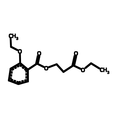 CCOC(=O)CCOC(=O)c1ccccc1OCC